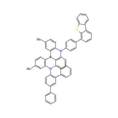 CC(C)(C)c1ccc2c(c1)B1c3ccc(C(C)(C)C)cc3N(c3ccc(-c4ccccc4)cc3-c3ccccc3)c3cccc(c31)N2c1ccc(-c2cccc3c2sc2ccccc23)cc1